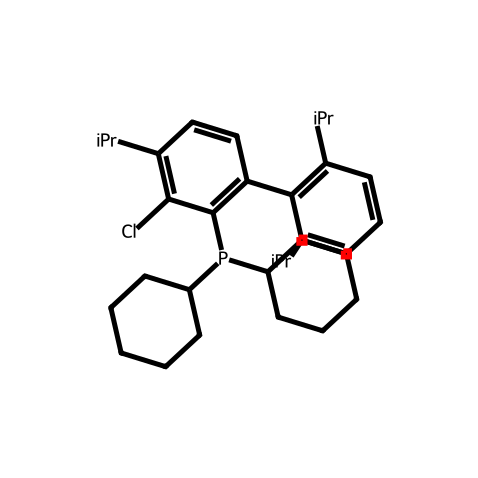 CC(C)c1ccc(-c2c(C(C)C)cccc2C(C)C)c(P(C2CCCCC2)C2CCCCC2)c1Cl